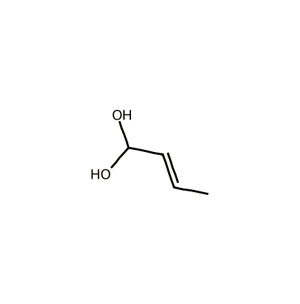 CC=CC(O)O